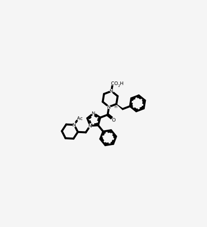 CC(=O)N1CCCCC1Cn1cnc(C(=O)N2CCN(C(=O)O)C[C@H]2Cc2ccccc2)c1-c1ccccc1